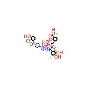 O=C(O)c1c(F)ccc2c1OB(O)C(NC(=O)C(NC(=O)N1CCN(C3CCN(C(=O)c4cccc(O)c4Cl)CC3)C1=O)c1cc(F)c(O)c(O)c1Cl)C2